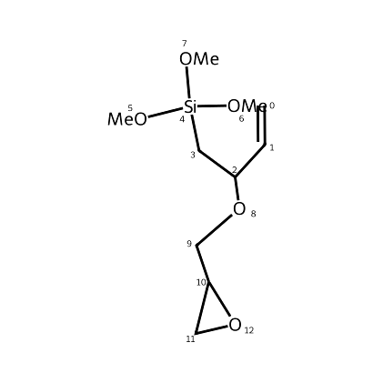 C=CC(C[Si](OC)(OC)OC)OCC1CO1